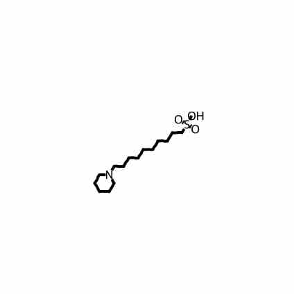 O=S(=O)(O)CCCCCCCCCCN1CCCCC1